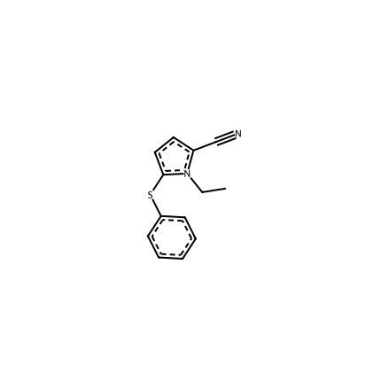 CCn1c(C#N)ccc1Sc1ccccc1